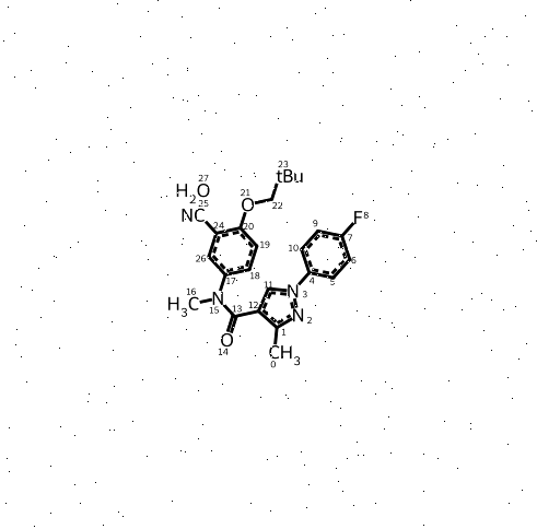 Cc1nn(-c2ccc(F)cc2)cc1C(=O)N(C)c1ccc(OCC(C)(C)C)c(C#N)c1.O